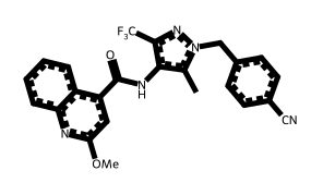 COc1cc(C(=O)Nc2c(C(F)(F)F)nn(Cc3ccc(C#N)cc3)c2C)c2ccccc2n1